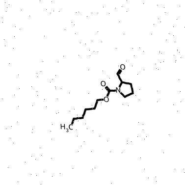 CCCCCCOC(=O)N1CCCC1C=O